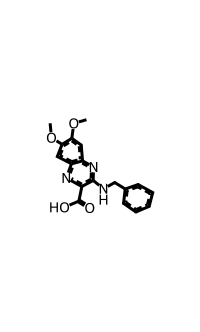 COc1cc2nc(NCc3ccccc3)c(C(=O)O)nc2cc1OC